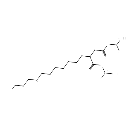 CCCCCCCCCCCCC(CC(=O)OC(C)C)C(=O)OC(C)C